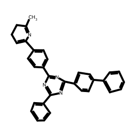 CC1=NC(c2ccc(-c3nc(-c4ccccc4)nc(-c4ccc(-c5ccccc5)cc4)n3)cc2)=CCC1